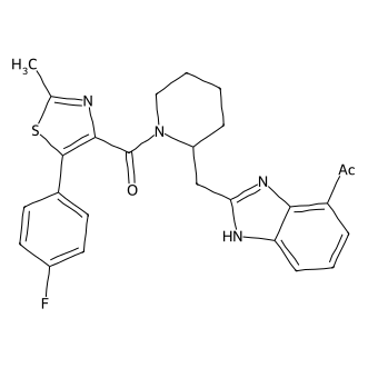 CC(=O)c1cccc2[nH]c(CC3CCCCN3C(=O)c3nc(C)sc3-c3ccc(F)cc3)nc12